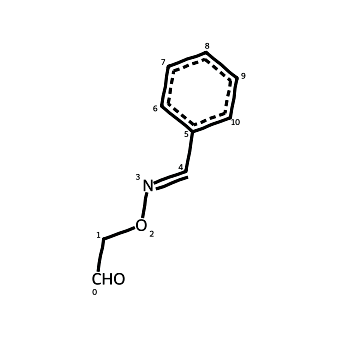 O=CCO/N=C/c1ccccc1